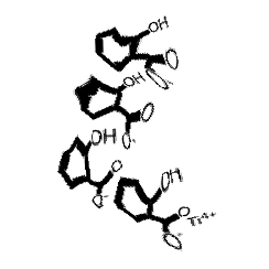 O=C([O-])c1ccccc1O.O=C([O-])c1ccccc1O.O=C([O-])c1ccccc1O.O=C([O-])c1ccccc1O.[Ti+4]